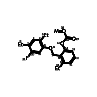 CCc1cc(CC)c(OCc2c(CC)cccc2OC(=O)OC)cc1F